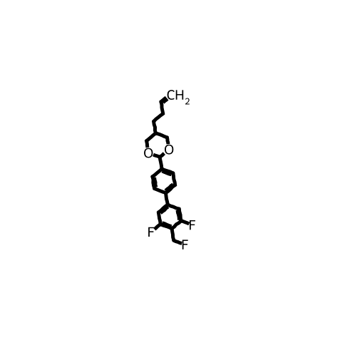 C=CCCC1COC(c2ccc(-c3cc(F)c(CF)c(F)c3)cc2)OC1